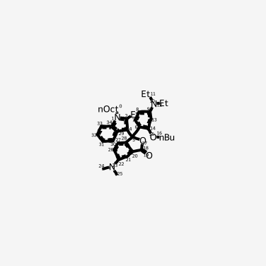 CCCCCCCCn1c(CC)c(C2(c3ccc(N(CC)CC)cc3OCCCC)OC(=O)c3cc(N(C)C)ccc32)c2ccccc21